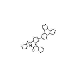 O=c1n(-c2ccccc2)c2cc(-c3ccc4c5ccccc5c5ccccc5c4c3)ccc2c2nc3ccccc3n12